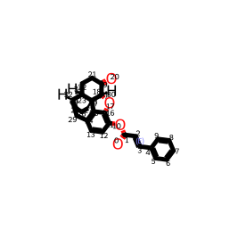 O=C(/C=C/c1ccccc1)Oc1ccc2c3c1O[C@H]1C(=O)CC[C@H]4[C@H](CCC[C@]314)C2